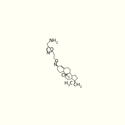 C=C1CCC2C3CCC4=CC(=NOCCc5ncc(CN)o5)CC[C@]4(C)C3CC[C@]12C